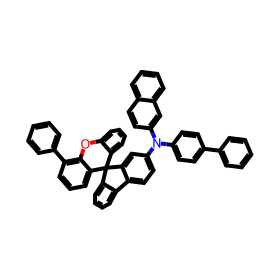 c1ccc(-c2ccc(N(c3ccc4c(c3)C3(c5ccccc5Oc5c(-c6ccccc6)cccc53)c3ccccc3-4)c3ccc4ccccc4c3)cc2)cc1